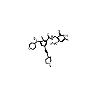 CCN(c1cc(C#CC2CCN(C)CC2)cc(C(=O)NCc2c(OC)cc(C)[nH]c2=O)c1C)C1CCOCC1